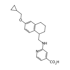 O=C(O)c1ccnc(NCC2CCCc3cc(OCC4CC4)ccc32)c1